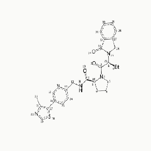 CC[C@@H](C(=O)N1CCC[C@H]1C(=O)NCc1ccc(-c2scnc2C)cc1)N1Cc2ccccc2C1=O